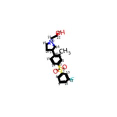 Cc1cc(S(=O)(=O)c2cccc(F)c2)ccc1C1CCN(CCO)C1